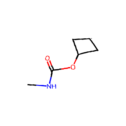 CNC(=O)OC1C[CH]C1